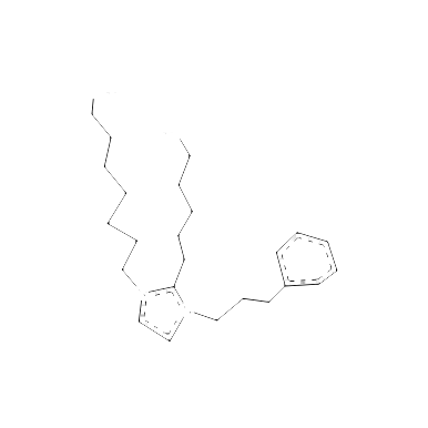 CCCCCCCCCCCCCCCCCn1cc[n+](CCCc2ccccc2)c1CCCCCCCCCCCCCCC